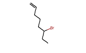 C=CCCCC(Br)CC